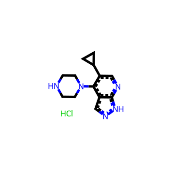 Cl.c1nc2[nH]ncc2c(N2CCNCC2)c1C1CC1